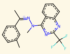 C/C(=N/N(C)c1nc(C(F)(F)F)nc2ccccc12)c1cccc(C)c1